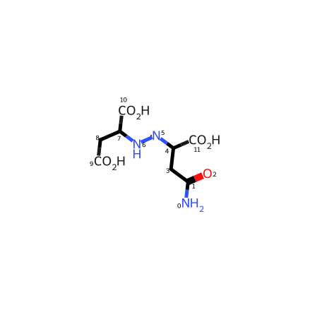 NC(=O)CC([N]NC(CC(=O)O)C(=O)O)C(=O)O